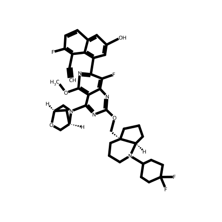 C#Cc1c(F)ccc2cc(O)cc(-c3nc(OC)c4c(N5C[C@H]6C[C@@H]5CO6)nc(OC[C@]56CCC[C@H]5N(C5CCC(F)(F)CC5)CCC6)nc4c3F)c12